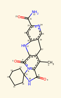 Cc1c2c(c(=O)n3c1C(=O)NC31CCCCC1)Nc1cc(C(N)=O)ncc1C2